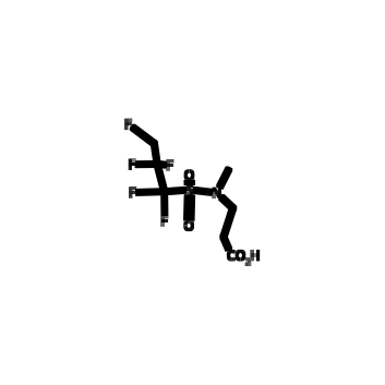 CN(CCC(=O)O)S(=O)(=O)C(F)(F)C(F)(F)CF